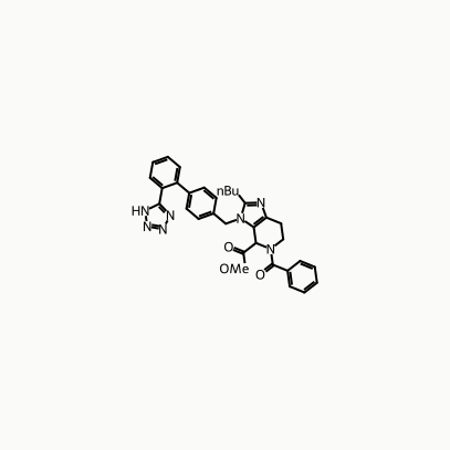 CCCCc1nc2c(n1Cc1ccc(-c3ccccc3-c3nnn[nH]3)cc1)C(C(=O)OC)N(C(=O)c1ccccc1)CC2